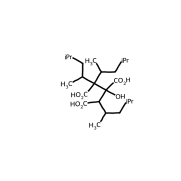 CC(C)CC(C)C(C(=O)O)C(O)(C(=O)O)C(C(=O)O)(C(C)CC(C)C)C(C)CC(C)C